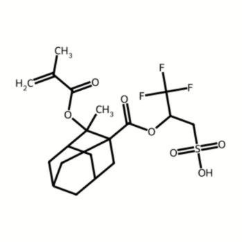 C=C(C)C(=O)OC1(C)C2CC3CC(C2)CC1(C(=O)OC(CS(=O)(=O)O)C(F)(F)F)C3